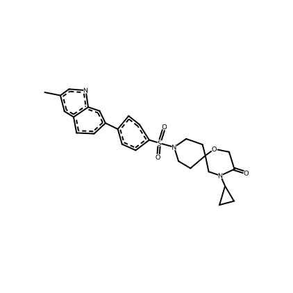 Cc1cnc2cc(-c3ccc(S(=O)(=O)N4CCC5(CC4)CN(C4CC4)C(=O)CO5)cc3)ccc2c1